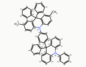 Cc1ccc2c(c1)C(c1ccccc1)(c1ccccc1)c1cc(C)ccc1N2c1ccc(C2(c3ccccc3)c3ccccc3N(c3ccccc3)c3ccccc32)cc1